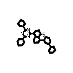 c1ccc(-c2ccc3c(c2)-c2cccc4c(-c5nc(-c6ccccc6)nc(-c6ccccc6)n5)ccc(c24)S3)cc1